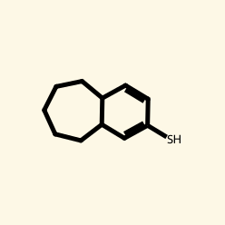 SC1=CC2CCCCCC2C=C1